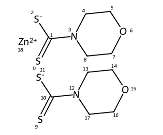 S=C([S-])N1CCOCC1.S=C([S-])N1CCOCC1.[Zn+2]